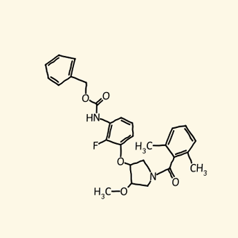 COC1CN(C(=O)c2c(C)cccc2C)CC1Oc1cccc(NC(=O)OCc2ccccc2)c1F